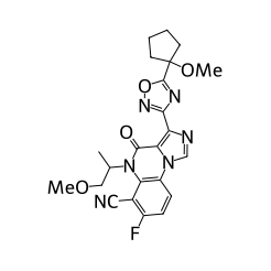 COCC(C)n1c(=O)c2c(-c3noc(C4(OC)CCCC4)n3)ncn2c2ccc(F)c(C#N)c21